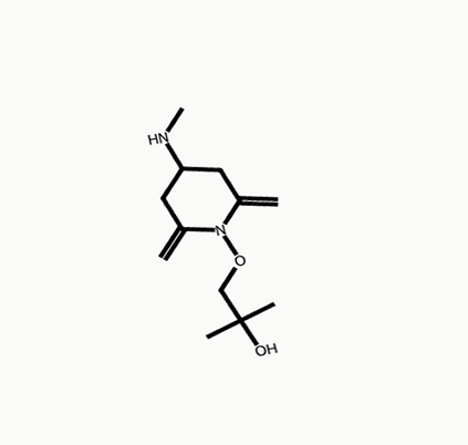 C=C1CC(NC)CC(=C)N1OCC(C)(C)O